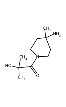 CC1(N)CCN(C(=O)C(C)(C)O)CC1